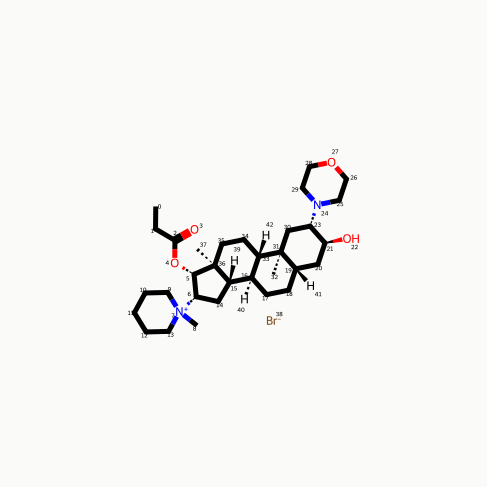 CCC(=O)O[C@H]1[C@@H]([N+]2(C)CCCCC2)C[C@H]2[C@@H]3CC[C@H]4C[C@H](O)[C@@H](N5CCOCC5)C[C@]4(C)[C@H]3CC[C@@]21C.[Br-]